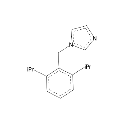 CC(C)c1cccc(C(C)C)c1Cn1ccnc1